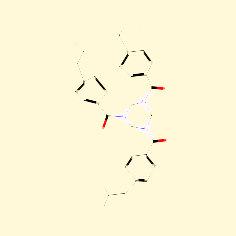 CCc1ccc(C(=O)N2CN(C(=O)c3ccc(CCS)cc3)CN(C(=O)c3ccc(CC(C)C)cc3)C2)cc1